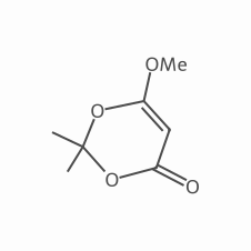 COC1=CC(=O)OC(C)(C)O1